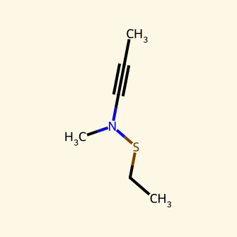 CC#CN(C)SCC